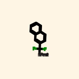 [CH2]CCCCC(F)(F)c1ccc2ccccc2c1